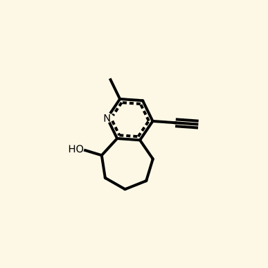 C#Cc1cc(C)nc2c1CCCCC2O